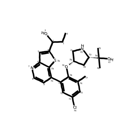 CCC(O)c1cc2nccc(-c3cc(Cl)cc(C)c3O[C@@H]3CN[C@H](C(C)(C)O)C3)c2s1